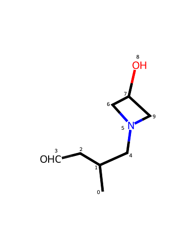 CC(CC=O)CN1CC(O)C1